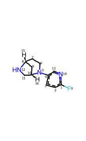 Fc1ccc(N2CC[C@@H]3C[C@H]2CN3)cn1